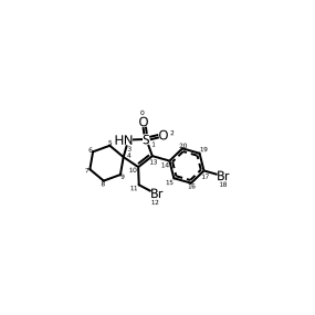 O=S1(=O)NC2(CCCCC2)C(CBr)=C1c1ccc(Br)cc1